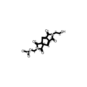 O=c1c2cc3c(=O)n(CO[N+](=O)[O-])c(=O)c3cc2c(=O)n1CCS